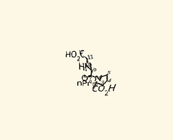 CCC[C@@]1(C(=O)O)CCCN1C(=O)CNCC(=O)O